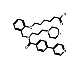 O=C(O)CCCCCOc1ccccc1CN(CCCN1CCOCC1)C(=O)c1ccc(-c2ccncc2)cc1